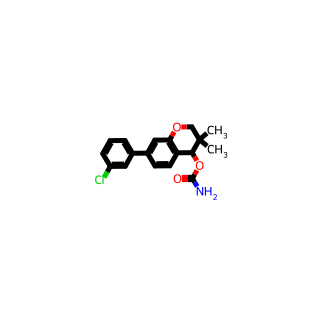 CC1(C)COc2cc(-c3cccc(Cl)c3)ccc2C1OC(N)=O